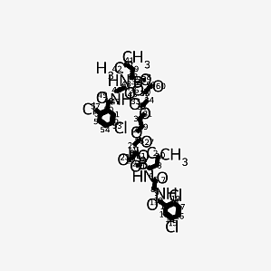 CC(C)CC(NC(=O)CNC(=O)c1cc(Cl)ccc1Cl)B1OC(=O)[C@H](CC(=O)OCCOC(=O)C[C@@H]2OB(C(CC(C)C)NC(=O)CNC(=O)c3cc(Cl)ccc3Cl)OC2=O)O1